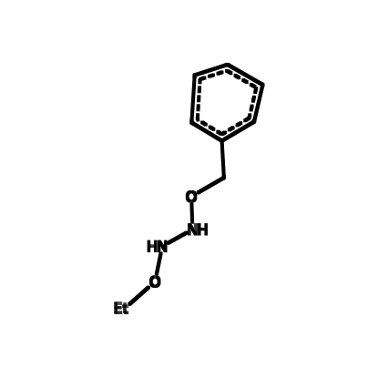 CCONNOCc1ccccc1